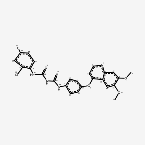 COc1cc2nccc(Oc3ccc(NC(=O)NC(=O)Nc4ccc(F)cc4Cl)cc3)c2cc1OC